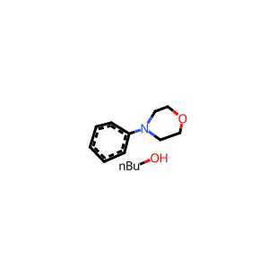 CCCCO.c1ccc(N2CCOCC2)cc1